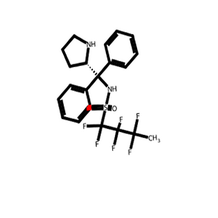 CC(F)(F)C(F)(F)C(F)(F)S(=O)(=O)NC(c1ccccc1)(c1ccccc1)[C@@H]1CCCN1